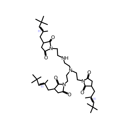 C/C(=C\C(C)(C)C)CC1CC(=O)N(CCNCCN(CCN2C(=O)CC(C/C(C)=C/C(C)(C)C)C2=O)CCN2C(=O)CC(C/C(C)=C/C(C)(C)C)C2=O)C1=O